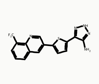 Nc1n[nH]nc1-c1ccc(-c2cnc3c(C(F)(F)F)cccc3c2)s1